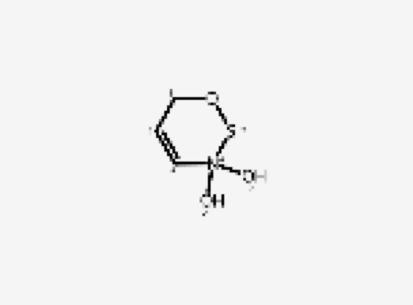 O[N+]1(O)C=CCOS1